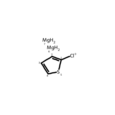 Clc1cccs1.[MgH2].[MgH2]